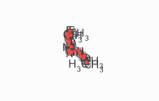 CCC1(C(=O)NC(C)C(F)(F)F)CCN(c2ccc(-c3cc(-c4cnn(C5CCN(C(=O)OC(C)(C)C)CC5)c4)cn4ncc(C#N)c34)cn2)CC1